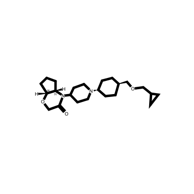 O=C1CO[C@@H]2CCC[C@@H]2N1C1CCN([C@H]2CC[C@H](COCC3CC3)CC2)CC1